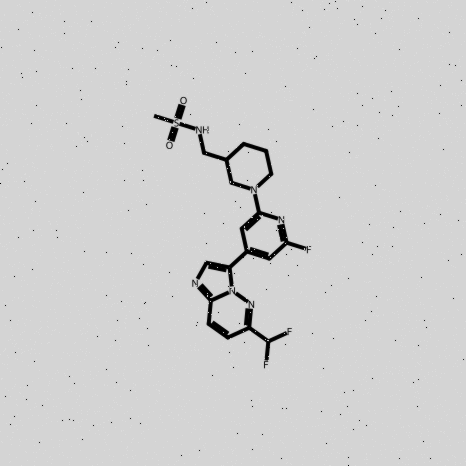 CS(=O)(=O)NCC1CCCN(c2cc(-c3cnc4ccc(C(F)F)nn34)cc(F)n2)C1